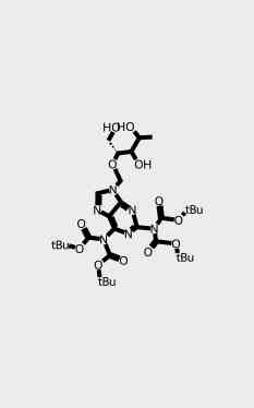 CC(O)C(O)[C@@H](CO)OCn1cnc2c(N(C(=O)OC(C)(C)C)C(=O)OC(C)(C)C)nc(N(C(=O)OC(C)(C)C)C(=O)OC(C)(C)C)nc21